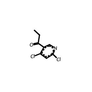 CCC(=O)c1cnc(Cl)cc1Cl